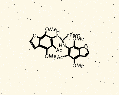 CCCCCC(Nc1c(C(C)=O)c(OC)c2ccoc2c1OC)Nc1c(C(C)=O)c(OC)c2ccoc2c1OC